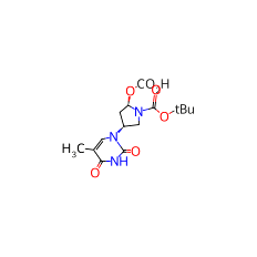 Cc1cn([C@H]2C[C@@H](OC(=O)O)N(C(=O)OC(C)(C)C)C2)c(=O)[nH]c1=O